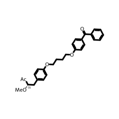 CO[C@@H](Cc1ccc(OCCCCOc2ccc(C(=O)c3ccccc3)cc2)cc1)C(C)=O